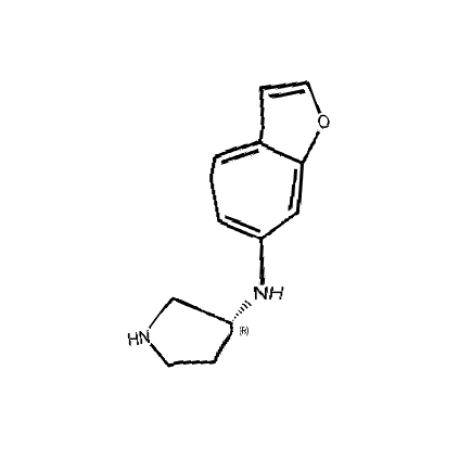 c1cc2ccc(N[C@@H]3CCNC3)cc2o1